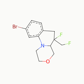 FCC1(F)Cc2ccc(Br)cc2N2CCOCC21